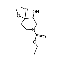 CCOC(=O)N1CCC(OC)(OC)C(O)C1